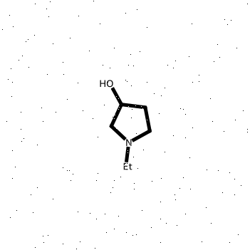 CCN1CCC(O)C1